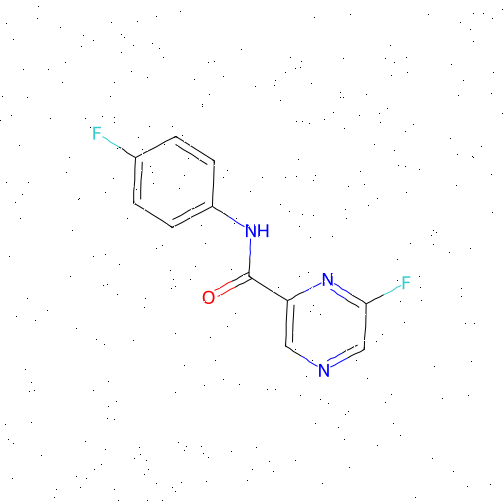 O=C(Nc1ccc(F)cc1)c1cncc(F)n1